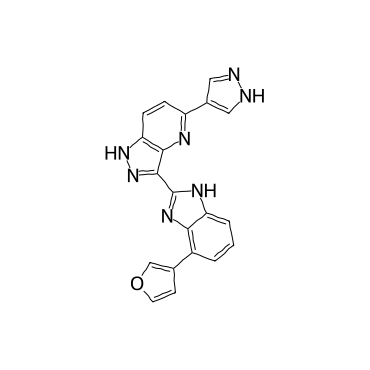 c1cc(-c2ccoc2)c2nc(-c3n[nH]c4ccc(-c5cn[nH]c5)nc34)[nH]c2c1